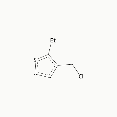 CCc1s[c]cc1CCl